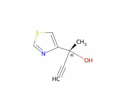 C#C[C@@](C)(O)c1cscn1